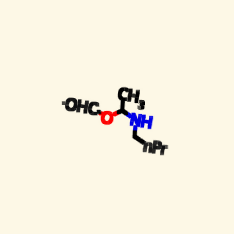 CCCCNC(C)O[C]=O